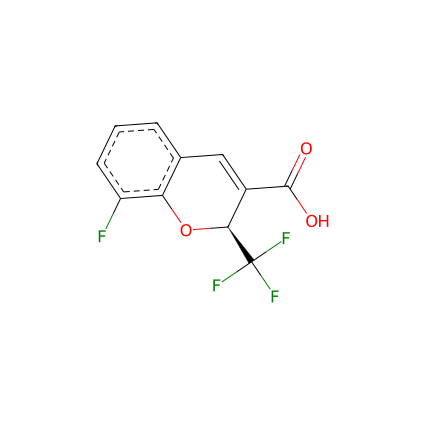 O=C(O)C1=Cc2cccc(F)c2O[C@@H]1C(F)(F)F